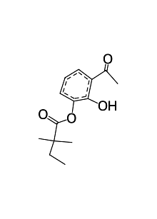 CCC(C)(C)C(=O)Oc1cccc(C(C)=O)c1O